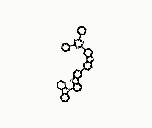 C1=Cc2c(c3ccccc3n2-c2cccc3c2oc2ccc(-c4ccc5sc6ccc(-c7nc(-c8ccccc8)nc(-c8ccccc8)n7)cc6c5c4)cc23)CC1